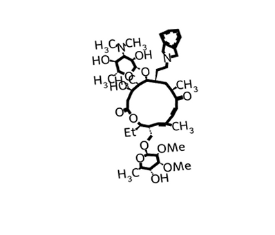 CC[C@H]1OC(=O)C[C@@H](O)[C@H](C)[C@@H](O[C@@H]2O[C@H](C)[C@@H](O)[C@H](N(C)C)[C@H]2O)[C@@H](CCN2Cc3ccccc3C2)C[C@@H](C)C(=O)/C=C/C(C)=C/[C@@H]1CO[C@@H]1O[C@H](C)[C@@H](O)[C@@H](OC)[C@H]1OC